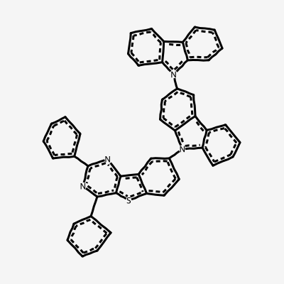 c1ccc(-c2nc(-c3ccccc3)c3sc4ccc(-n5c6ccccc6c6cc(-n7c8ccccc8c8ccccc87)ccc65)cc4c3n2)cc1